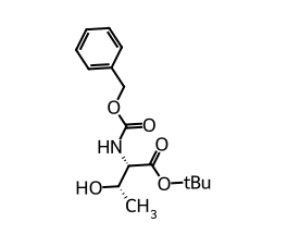 C[C@H](O)[C@H](NC(=O)OCc1ccccc1)C(=O)OC(C)(C)C